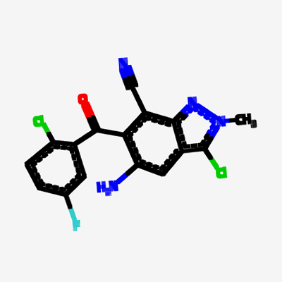 Cn1nc2c(C#N)c(C(=O)c3cc(F)ccc3Cl)c(N)cc2c1Cl